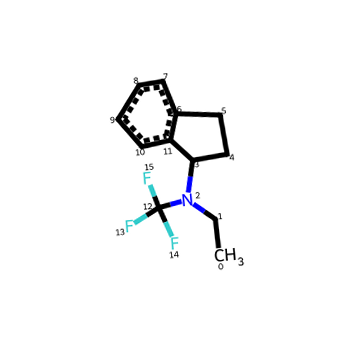 CCN(C1CCc2ccccc21)C(F)(F)F